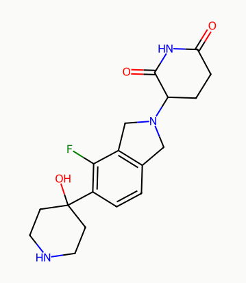 O=C1CCC(N2Cc3ccc(C4(O)CCNCC4)c(F)c3C2)C(=O)N1